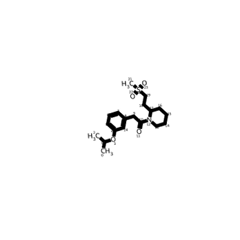 CC(C)Oc1cccc(CC(=O)N2CCCCC2CCS(C)(=O)=O)c1